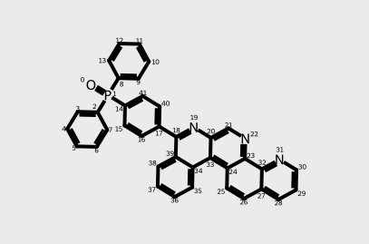 O=P(c1ccccc1)(c1ccccc1)c1ccc(-c2nc3cnc4c(ccc5cccnc54)c3c3ccccc23)cc1